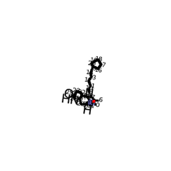 C/C=C1\[C@H]2C=C(C)C[C@]1(N=CC=CC=Cc1ccccc1)c1ccc(=O)[nH]c1C2